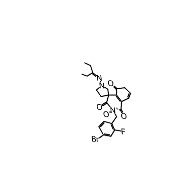 CCC(CC)=NN1CCC2(C1)C(=O)[N+]([O-])(Cc1ccc(Br)cc1F)C(=O)C1=C2C(=O)CC=C1